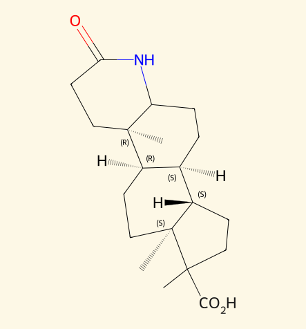 CC1(C(=O)O)CC[C@H]2[C@@H]3CCC4NC(=O)CC[C@]4(C)[C@@H]3CC[C@@]21C